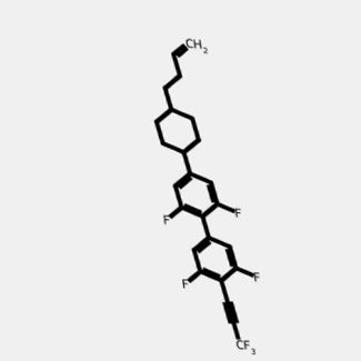 C=CCCC1CCC(c2cc(F)c(-c3cc(F)c(C#CC(F)(F)F)c(F)c3)c(F)c2)CC1